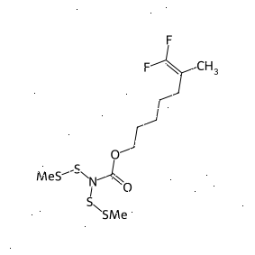 CSSN(SSC)C(=O)OCCCCCC(C)=C(F)F